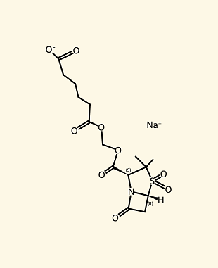 CC1(C)[C@H](C(=O)OCOC(=O)CCCCC(=O)[O-])N2C(=O)C[C@H]2S1(=O)=O.[Na+]